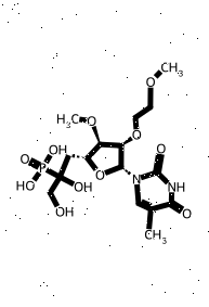 COCCO[C@@H]1[C@H](OC)[C@@H](CC(O)(CO)P(=O)(O)O)O[C@H]1n1cc(C)c(=O)[nH]c1=O